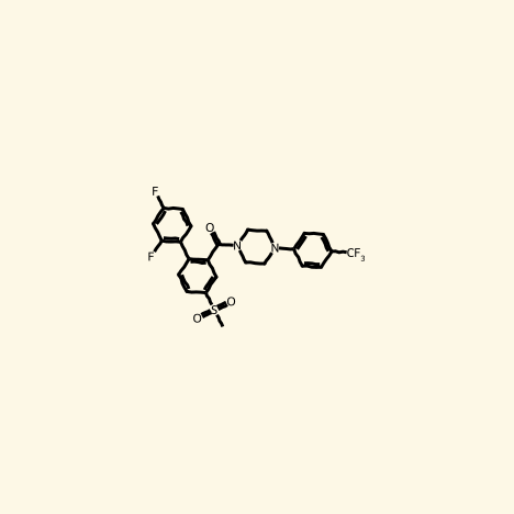 CS(=O)(=O)c1ccc(-c2ccc(F)cc2F)c(C(=O)N2CCN(c3ccc(C(F)(F)F)cc3)CC2)c1